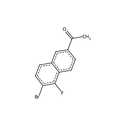 CC(=O)c1ccc2c(F)c(Br)ccc2c1